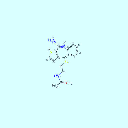 CC(=O)NCCSC1c2ccccc2N=C(N)c2sccc21